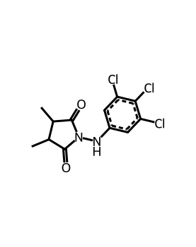 CC1C(=O)N(Nc2cc(Cl)c(Cl)c(Cl)c2)C(=O)C1C